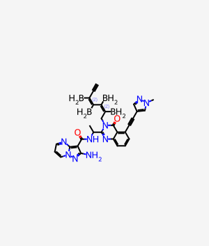 B/C(C#C)=C(B)/C(B)=C(/B)Cn1c(C(C)NC(=O)c2c(N)nn3cccnc23)nc2cccc(C#Cc3cnn(C)c3)c2c1=O